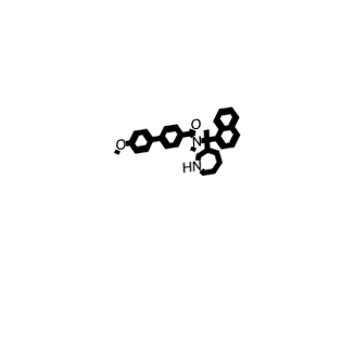 COc1ccc(-c2ccc(C(=O)N(C)C(C)(c3cccc4ccccc34)C3CCCCNC3)cc2)cc1